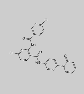 O=C(Nc1cc(Cl)ccc1C(=O)Nc1ccc(-n2ccccc2=O)cc1)c1ccc(Cl)cc1